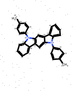 Cc1ccc(-n2c3ccccc3c3cc4c(cc32)c2ccccc2n4-c2ccc(C)cc2)cc1